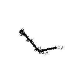 O=C(O)CCCCCCCCCCCCC(=O)NC(CCC(=O)NCCOCCOCC(=O)NCCOCCOCC(=O)ON1C(=O)CCC1=O)C(=O)O